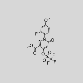 COC(=O)c1nn(-c2ccc(OC)cc2F)c(=O)cc1OS(=O)(=O)C(F)(F)F